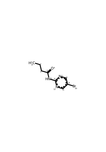 CCCC(=O)Nc1ncc(Br)cn1